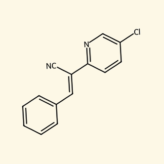 N#C/C(=C\c1ccccc1)c1ccc(Cl)cn1